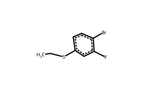 CCSc1ccc(Br)c(F)c1